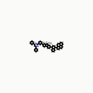 CC1(C)c2cc(-c3cccc(-c4nc(-c5ccccc5)cc(-c5ccccc5)n4)c3)ccc2-c2ccc(-c3ccc(-c4ccc5ccc6cccc7ccc4c5c67)c4ccccc34)cc21